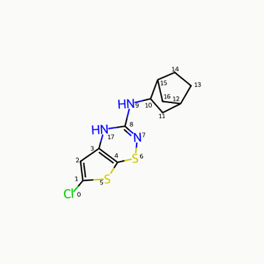 Clc1cc2c(s1)SN=C(NC1CC3CCC1C3)N2